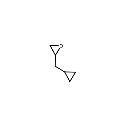 C1CC1CC1CO1